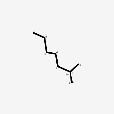 [CH2][C@H](C)CCCCC